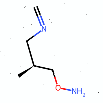 C=NC[C@H](C)CON